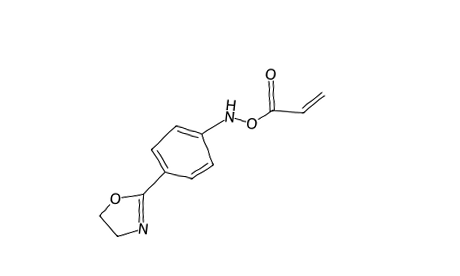 C=CC(=O)ONc1ccc(C2=NCCO2)cc1